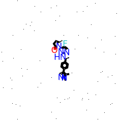 Cc1c(-c2ccc([C@H](C)Nc3ncc(F)c(N4C(=O)CC[C@H]4C)n3)cc2)cnn1C